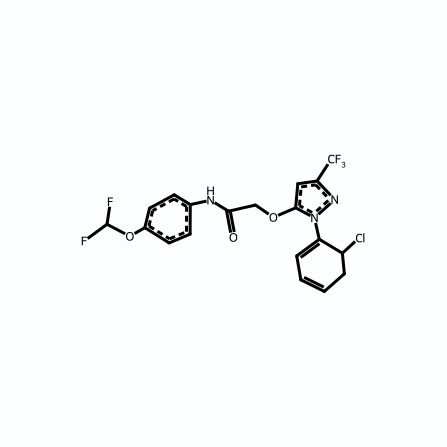 O=C(COc1cc(C(F)(F)F)nn1C1=CC=CCC1Cl)Nc1ccc(OC(F)F)cc1